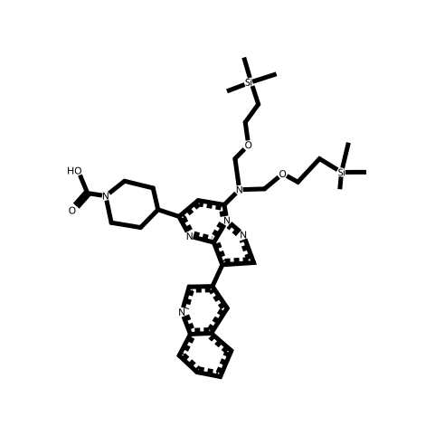 C[Si](C)(C)CCOCN(COCC[Si](C)(C)C)c1cc(C2CCN(C(=O)O)CC2)nc2c(-c3cnc4ccccc4c3)cnn12